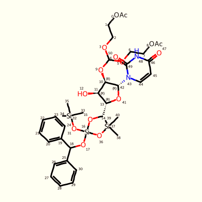 CC(=O)OCCOC(OCCOC(C)=O)O[C@@H]1[C@H](O)[C@@H](CO[Si](OC(c2ccccc2)c2ccccc2)(O[Si](C)(C)C)O[Si](C)(C)C)O[C@H]1n1ccc(=O)[nH]c1=O